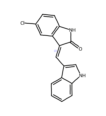 O=C1Nc2ccc(Cl)cc2/C1=C/c1c[nH]c2ccccc12